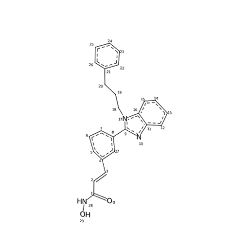 O=C(C=Cc1cccc(-c2nc3ccccc3n2CCCc2ccccc2)c1)NO